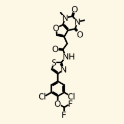 Cn1c(=O)c2c(CC(=O)Nc3nc(-c4cc(Cl)c(OC(F)F)c(Cl)c4)cs3)coc2n(C)c1=O